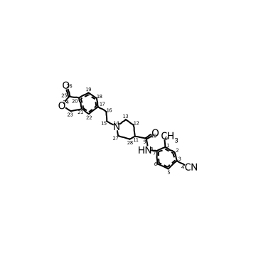 Cc1cc(C#N)ccc1NC(=O)C1CCN(CCc2ccc3c(c2)COC3=O)CC1